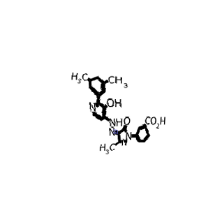 CC1=CC(c2nccc(N/N=C3\C(=O)N(c4cccc(C(=O)O)c4)N=C3C)c2O)=CC(C)C1